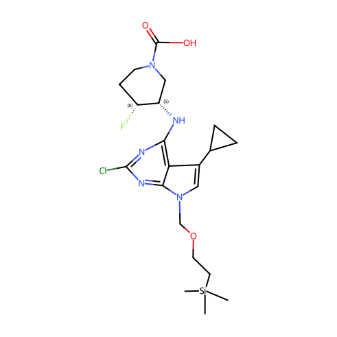 C[Si](C)(C)CCOCn1cc(C2CC2)c2c(N[C@H]3CN(C(=O)O)CC[C@H]3F)nc(Cl)nc21